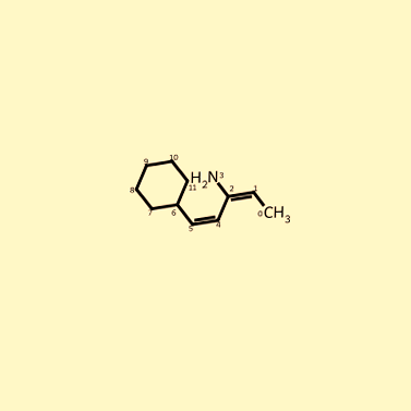 C/C=C(N)\C=C/C1CCCCC1